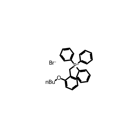 CCCCOc1ccccc1C[P+](c1ccccc1)(c1ccccc1)c1ccccc1.[Br-]